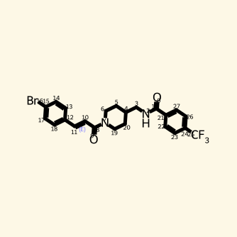 O=C(NCC1CCN(C(=O)/C=C/c2ccc(Br)cc2)CC1)c1ccc(C(F)(F)F)cc1